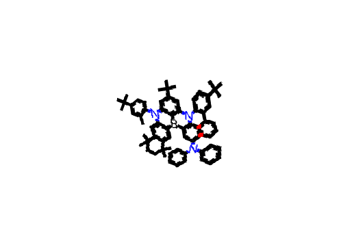 Cc1cc(C(C)(C)C)ccc1N1c2cc3c(cc2B2c4cc(N(c5ccccc5)c5ccccc5)ccc4N(c4ccc(C(C)(C)C)cc4-c4ccccc4)c4cc(C(C)(C)C)cc1c42)C(C)(C)CCC3(C)C